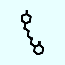 [CH](COCC1CCCCN1)OC1CCNCC1